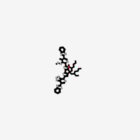 C=C1C(c2nc3ccccc3s2)=CN=C(c2cc3c(s2)-c2sc(-c4ncc(-c5nc6ccccc6s5)c5nsnc45)cc2C3(CC(CC)CCCC)CC(CC)CCCC)/C1=N/SC